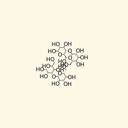 OC[C@@H](O)[C@@H](O[C@H]1O[C@H](CO)[C@@H](O)[C@H](O)[C@H]1O)[C@H](O)[C@@H](O)CO.OC[C@H]1O[C@@H](O[C@H]2[C@H](O)[C@@H](O)[C@H](O)O[C@@H]2CO)[C@H](O)[C@@H](O)[C@H]1O